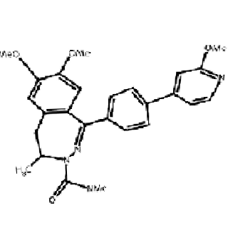 CNC(=O)N1N=C(c2ccc(-c3ccnc(OC)c3)cc2)c2cc(OC)c(OC)cc2CC1C